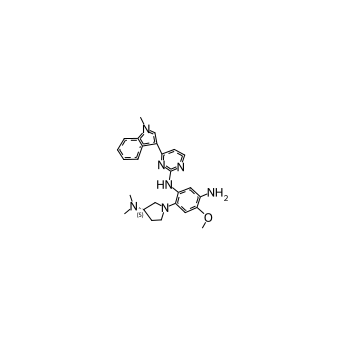 COc1cc(N2CC[C@H](N(C)C)C2)c(Nc2nccc(-c3cn(C)c4ccccc34)n2)cc1N